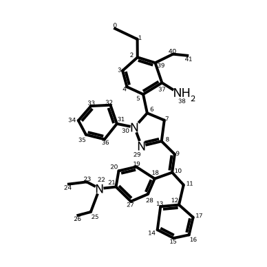 CCc1ccc(C2CC(C=C(Cc3ccccc3)c3ccc(N(CC)CC)cc3)=NN2c2ccccc2)c(N)c1CC